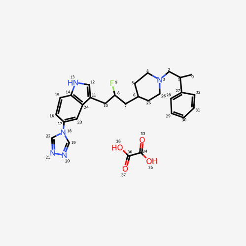 CC(CN1CCC(CC(F)Cc2c[nH]c3ccc(-n4cnnc4)cc23)CC1)c1ccccc1.O=C(O)C(=O)O